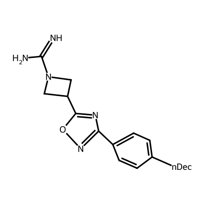 CCCCCCCCCCc1ccc(-c2noc(C3CN(C(=N)N)C3)n2)cc1